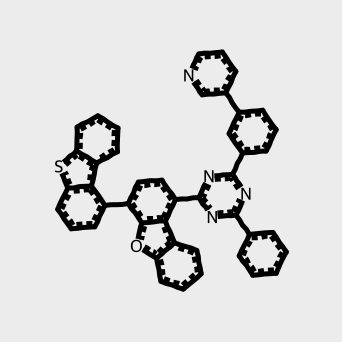 c1ccc(-c2nc(-c3cccc(-c4cccnc4)c3)nc(-c3ccc(-c4cccc5sc6ccccc6c45)c4oc5ccccc5c34)n2)cc1